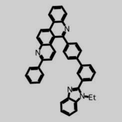 CCn1c(-c2cccc(-c3ccc(-c4nc5ccccc5c5ccc6nc(-c7ccccc7)ccc6c45)cc3)c2)nc2ccccc21